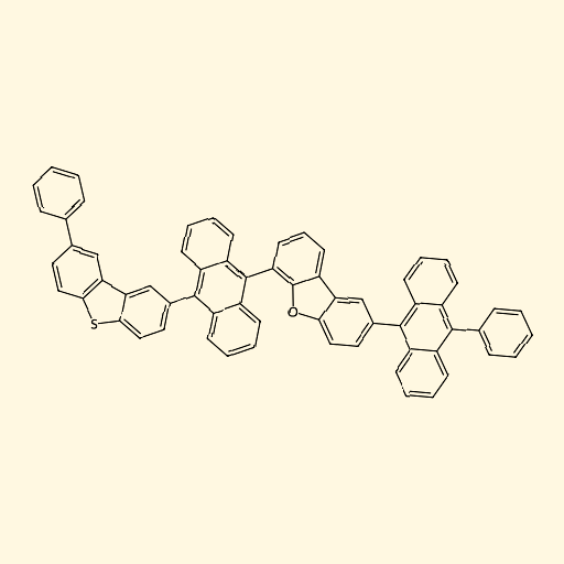 c1ccc(-c2ccc3sc4ccc(-c5c6ccccc6c(-c6cccc7c6oc6ccc(-c8c9ccccc9c(-c9ccccc9)c9ccccc89)cc67)c6ccccc56)cc4c3c2)cc1